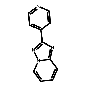 c1ccn2nc(-c3ccncc3)nc2c1